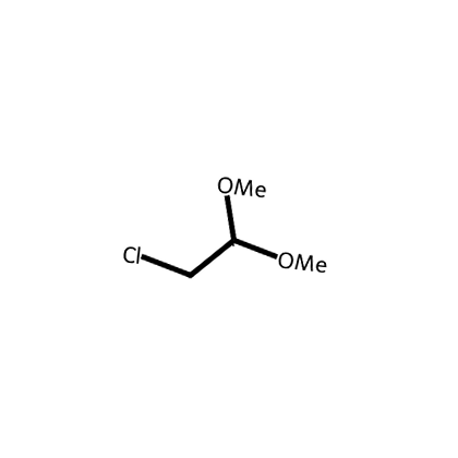 CO[C](CCl)OC